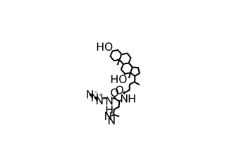 CC(CCC(=O)NC(CCC1(C)N=N1)C(=O)NCN=[N+]=[N-])C1CCC2C3CCC4CC(O)CCC4(C)C3CC(O)C12C